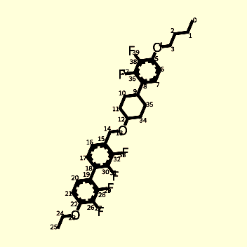 CCCCOc1ccc(C2CCC(OCc3ccc(-c4ccc(OCC)c(F)c4F)c(F)c3F)CC2)c(F)c1F